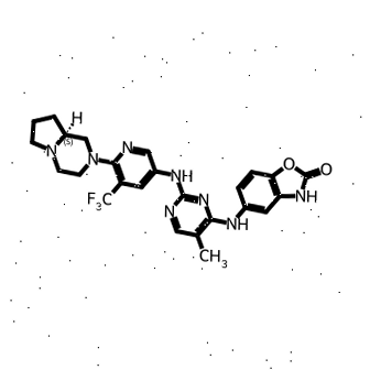 Cc1cnc(Nc2cnc(N3CCN4CCC[C@H]4C3)c(C(F)(F)F)c2)nc1Nc1ccc2oc(=O)[nH]c2c1